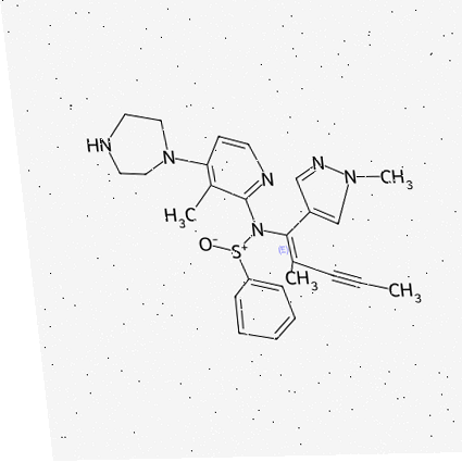 CC#C/C(C)=C(\c1cnn(C)c1)N(c1nccc(N2CCNCC2)c1C)[S+]([O-])c1ccccc1